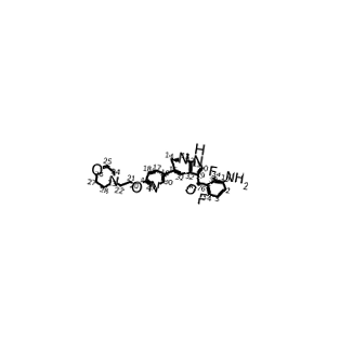 Nc1ccc(F)c(C(=O)c2c[nH]c3ncc(-c4ccc(OCCN5CCOCC5)nc4)cc23)c1F